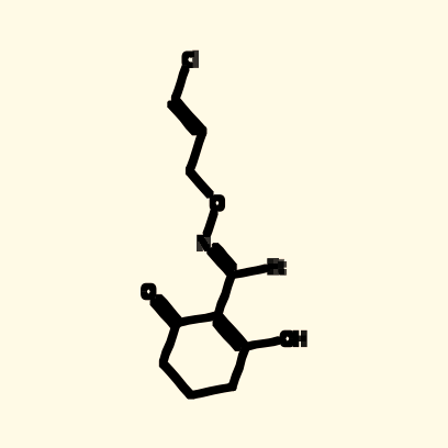 CCC(=NOCC=CCl)C1=C(O)CCCC1=O